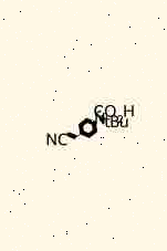 CC(C)(C)N(C(=O)O)[C@H]1CC[C@H](CCC#N)CC1